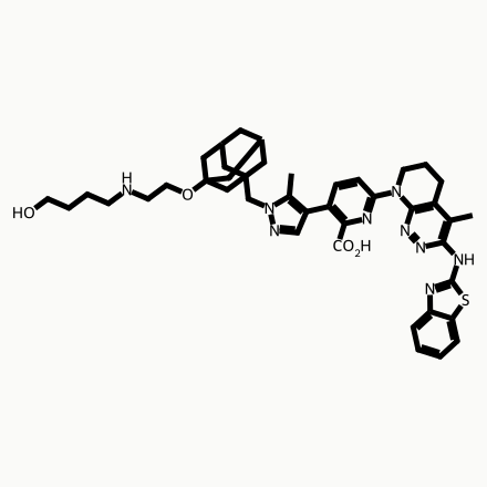 Cc1c(Nc2nc3ccccc3s2)nnc2c1CCCN2c1ccc(-c2cnn(CC34CC5CC(C3)CC(OCCNCCCCO)(C5)C4)c2C)c(C(=O)O)n1